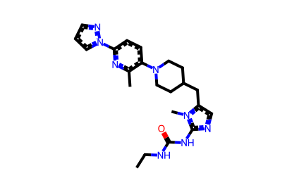 CCNC(=O)Nc1ncc(CC2CCN(c3ccc(-n4cccn4)nc3C)CC2)n1C